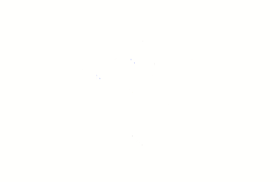 C=C(C)C(C(=O)OC(c1ccccc1)c1ccccc1)N1C(=O)C(NC(C)=O)C1[S+]([O-])Cl.c1cc2cc-2c1